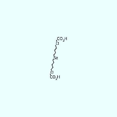 O=C(O)COCCCCC[Se]CCCCCOCC(=O)O